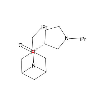 CC(C)CN1CC2CC(C1)N2C(=O)[C@@H]1CCN(C(C)C)C1